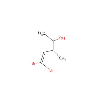 CC(O)[C@H](C)C=C(Br)Br